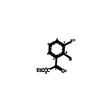 CCOC(=O)C(=O)c1cccc(F)c1C